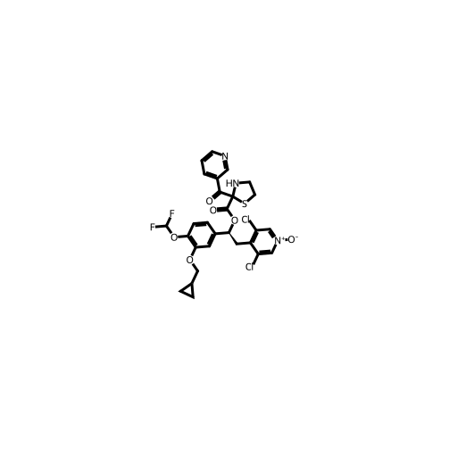 O=C(O[C@@H](Cc1c(Cl)c[n+]([O-])cc1Cl)c1ccc(OC(F)F)c(OCC2CC2)c1)C1(C(=O)c2cccnc2)NCCS1